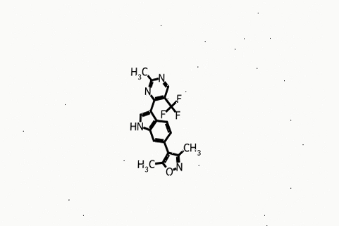 Cc1ncc(C(F)(F)F)c(-c2c[nH]c3cc(-c4c(C)noc4C)ccc23)n1